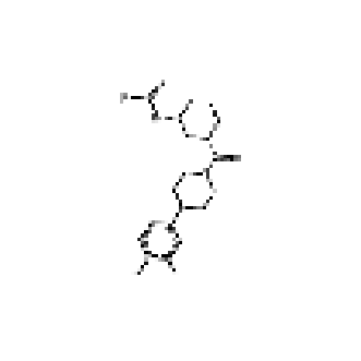 CC(C)C(=O)N[C@@H]1CCC[C@H](C(=O)N2CCN(c3ccc(Cl)c(Cl)c3)CC2)C1